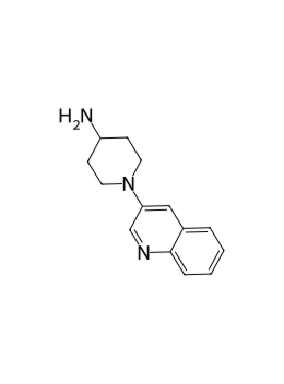 NC1CCN(c2cnc3ccccc3c2)CC1